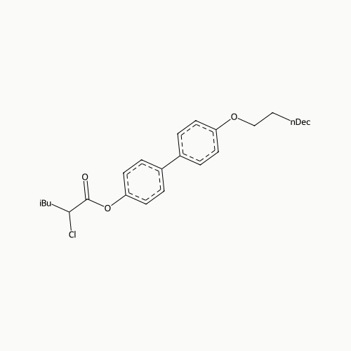 CCCCCCCCCCCCOc1ccc(-c2ccc(OC(=O)C(Cl)C(C)CC)cc2)cc1